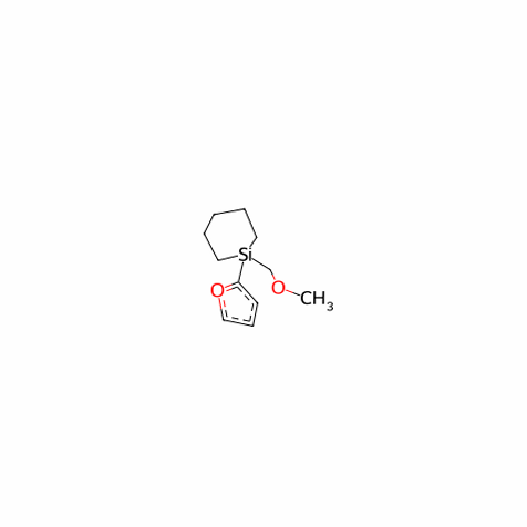 COC[Si]1(c2ccco2)CCCCC1